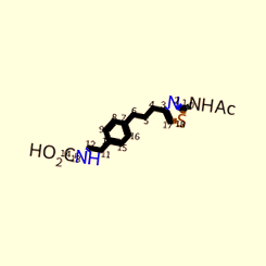 CC(=O)Nc1nc(CCCc2ccc(CCNC(=O)O)cc2)cs1